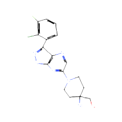 NC1(CO)CCN(c2cnc3c(-c4cccc(F)c4Cl)n[nH]c3n2)CC1